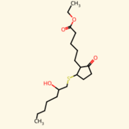 CCCCCC(O)CSC1CCC(=O)C1CCCCC(=O)OCC